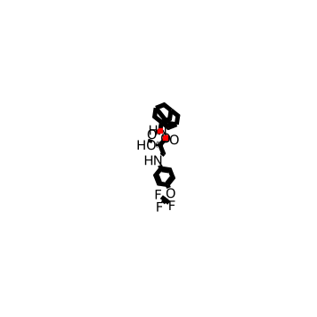 COC(=O)C12CC3CC(C1)C(NC(=O)[C@H](O)CNc1ccc(OC(F)(F)F)cc1)C(C3)C2